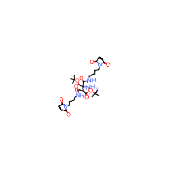 CC(C)(C)OC(=O)C(C(=O)NCCCCN1C(=O)C=CC1=O)C(N)(C(=O)NCCCCN1C(=O)C=CC1=O)C(=O)OC(C)(C)C